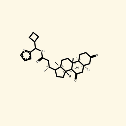 C[C@H](CC(=O)NC(c1cccs1)C1CCC1)C1CC[C@H]2[C@@H]3C(=O)C[C@@H]4CC(=O)CC[C@]4(C)[C@H]3CC[C@]12C